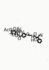 CC(=O)O[C@H]1[C@H](OC(C)=O)[C@H](ONC(=O)c2ccc(OCCNC(=O)c3oc4ccccc4c3CN(C)C)cc2)O[C@@H](C)[C@H]1OC(C)=O